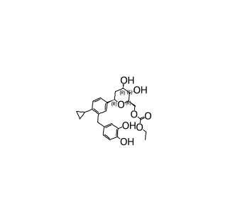 CCOC(=O)OC[C@H]1O[C@@H](c2ccc(C3CC3)c(Cc3ccc(O)c(O)c3)c2)C[C@@H](O)[C@@H]1O